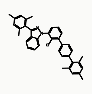 Cc1cc(C)c(-c2ccc(-c3cccc(-n4nc(-c5c(C)cc(C)cc5C)c5ccccc54)c3Cl)cc2)c(C)c1